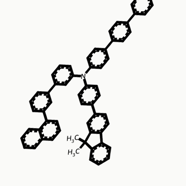 CC1(C)c2ccccc2-c2ccc(-c3ccc(N(c4ccc(-c5ccc(-c6ccccc6)cc5)cc4)c4cccc(-c5cccc(-c6cccc7ccccc67)c5)c4)cc3)cc21